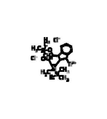 CC[Si](C)(C)[Si]1(C)C2=C1C1=[C]([Ti+2])c3ccccc3C1=C(O[Si](C)(C)C)C2=O.[Cl-].[Cl-]